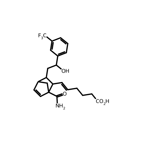 NC(=O)C12C=CC(C1)C(CC(O)c1cccc(C(F)(F)F)c1)C2C=CCCCC(=O)O